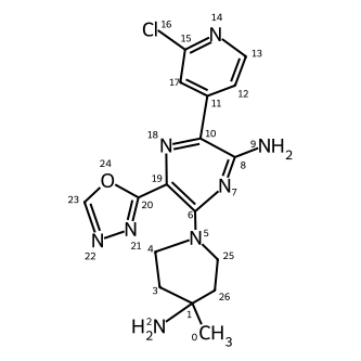 CC1(N)CCN(c2nc(N)c(-c3ccnc(Cl)c3)nc2-c2nnco2)CC1